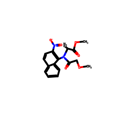 COCC(=O)N(c1c([N+](=O)[O-])ccc2ccccc12)C(C)C(=O)OC